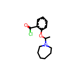 CC(Oc1ccccc1C(=O)Cl)N1CCCCCC1